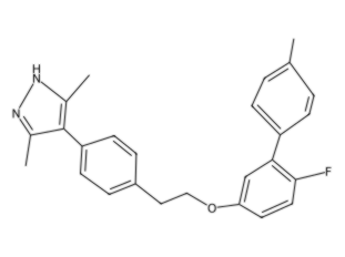 Cc1ccc(-c2cc(OCCc3ccc(-c4c(C)n[nH]c4C)cc3)ccc2F)cc1